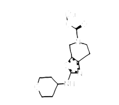 CC(C)(C)OC(=O)N1CCc2nc(NC3CCOCC3)sc2C1